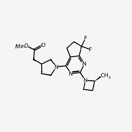 COC(=O)CC1CCN(c2nc(N3CC[C@@H]3C)nc3c2CCC3(F)F)C1